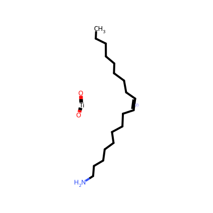 CCCCCCCC/C=C\CCCCCCCCN.[O]=[Ti]=[O]